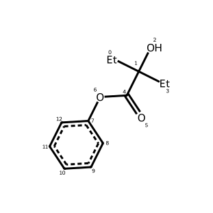 CCC(O)(CC)C(=O)Oc1ccccc1